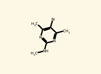 CNc1nc(C)c(Br)c(C)n1